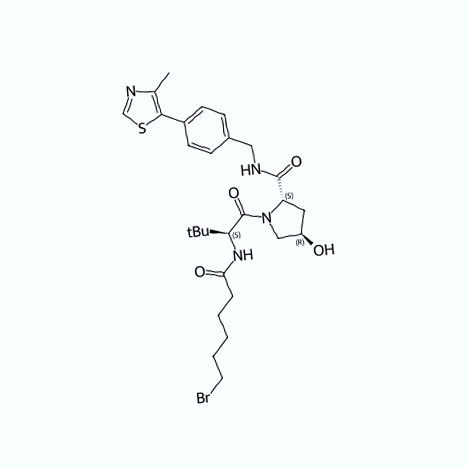 Cc1ncsc1-c1ccc(CNC(=O)[C@@H]2C[C@@H](O)CN2C(=O)[C@@H](NC(=O)CCCCCBr)C(C)(C)C)cc1